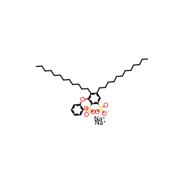 CCCCCCCCCCCCc1cc(S(=O)(=O)[O-])c(S(=O)(=O)[O-])c(Oc2ccccc2)c1CCCCCCCCCCCC.[Na+].[Na+]